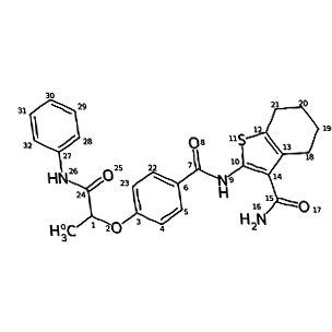 CC(Oc1ccc(C(=O)Nc2sc3c(c2C(N)=O)CCCC3)cc1)C(=O)Nc1ccccc1